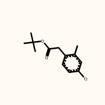 Cc1cc(Cl)ccc1CC(=O)OC(C)(C)C